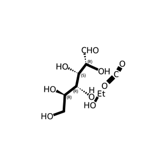 CCO.O=C=O.O=C[C@H](O)[C@@H](O)[C@H](O)[C@H](O)CO